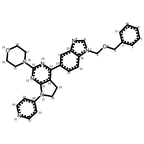 c1ccc(COCn2cnc3cc(-c4nc(N5CCOCC5)nc5c4CCN5c4ccncc4)ccc32)cc1